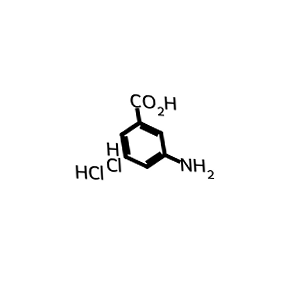 Cl.Cl.Nc1cccc(C(=O)O)c1